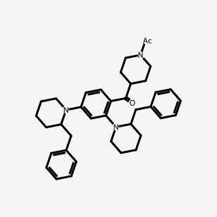 CC(=O)N1CCC(C(=O)c2ccc(N3CCCCC3Cc3ccccc3)cc2N2CCCCC2Cc2ccccc2)CC1